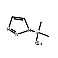 CC(C)(C)[Si](C)(C)n1ccnn1